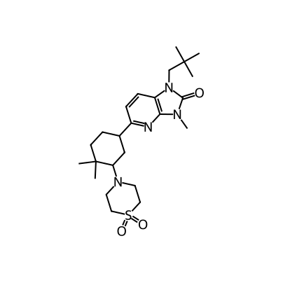 Cn1c(=O)n(CC(C)(C)C)c2ccc(C3CCC(C)(C)C(N4CCS(=O)(=O)CC4)C3)nc21